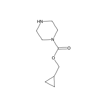 O=C(OCC1CC1)N1CCNCC1